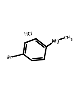 Cl.[CH3][Mg][c]1ccc(C(C)C)cc1